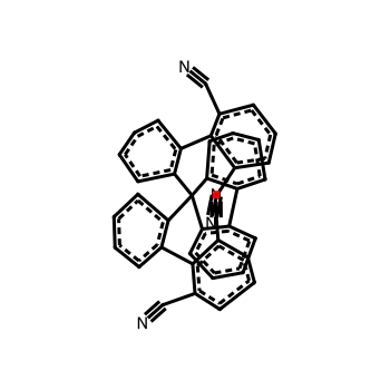 N#Cc1cccc(C#N)c1-c1ccccc1C1(c2ccccc2-c2c(C#N)cccc2C#N)c2ccccc2-c2ccccc21